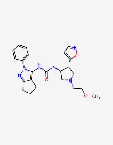 COCCN1C[C@@H](NC(=O)Nc2c3c(nn2-c2ccccc2)CCC3)[C@H](c2ccno2)C1